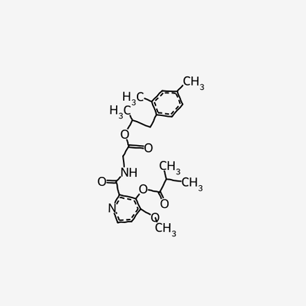 COc1ccnc(C(=O)NCC(=O)OC(C)Cc2ccc(C)cc2C)c1OC(=O)C(C)C